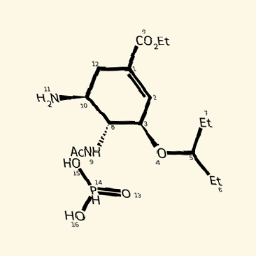 CCOC(=O)C1=C[C@@H](OC(CC)CC)[C@H](NC(C)=O)[C@@H](N)C1.O=[PH](O)O